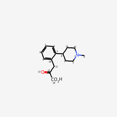 CN1CCC(c2ccccc2CC(=O)C(=O)O)CC1